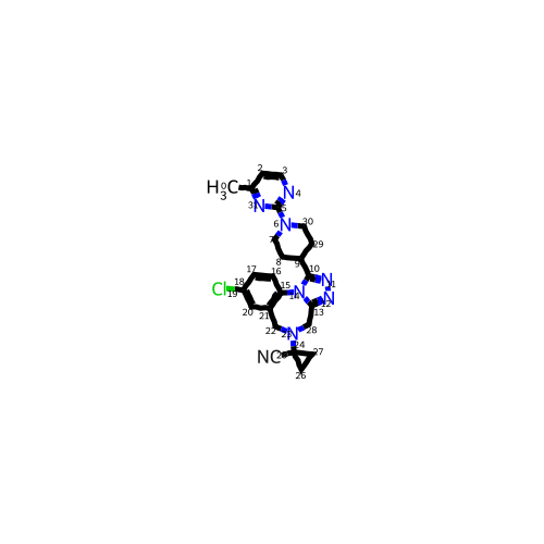 Cc1ccnc(N2CCC(c3nnc4n3-c3ccc(Cl)cc3CN(C3(C#N)CC3)C4)CC2)n1